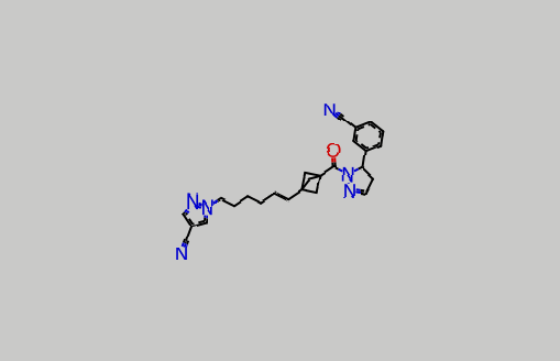 N#Cc1cccc(C2CC=NN2C(=O)C23CC(CCCCCCn4cc(C#N)cn4)(C2)C3)c1